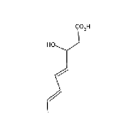 CC=CC=CC(O)CC(=O)O